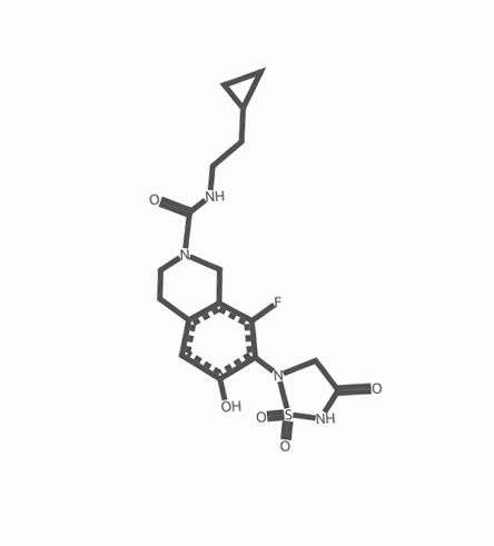 O=C1CN(c2c(O)cc3c(c2F)CN(C(=O)NCCC2CC2)CC3)S(=O)(=O)N1